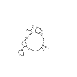 CN1CCNc2ncnc3c2/C(=C\Nc2ccc(N4CCOCC4)c(c2)OCCCC1=O)C(=O)N3